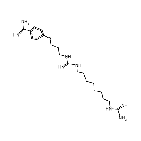 N=C(N)NCCCCCCCCNC(=N)NCCCSc1ccc(C(=N)N)cc1